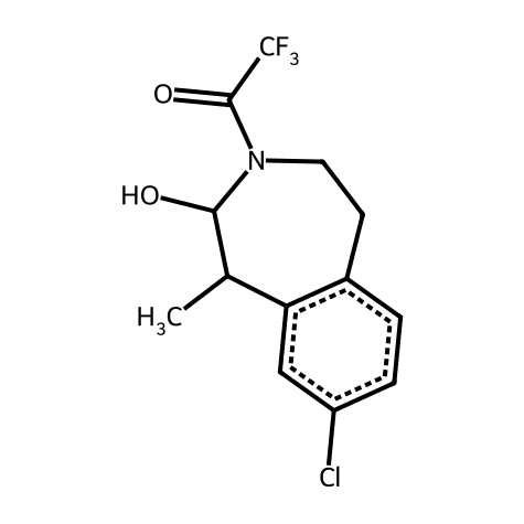 CC1c2cc(Cl)ccc2CCN(C(=O)C(F)(F)F)C1O